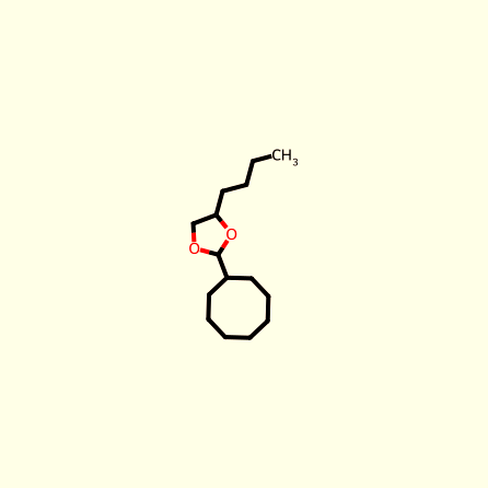 CCCCC1COC(C2CCCCCCC2)O1